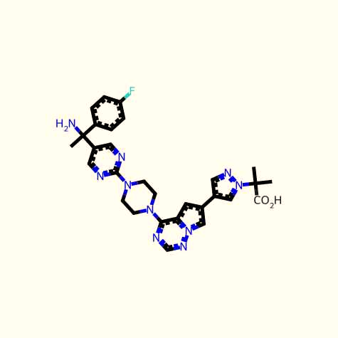 CC(N)(c1ccc(F)cc1)c1cnc(N2CCN(c3ncnn4cc(-c5cnn(C(C)(C)C(=O)O)c5)cc34)CC2)nc1